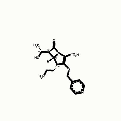 C[C@@H](O)[C@H]1C(=O)N2C(C(=O)O)=C(SCc3ccncc3)[C@H](CCN)[C@H]12